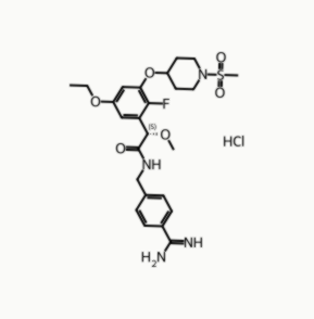 CCOc1cc(OC2CCN(S(C)(=O)=O)CC2)c(F)c([C@H](OC)C(=O)NCc2ccc(C(=N)N)cc2)c1.Cl